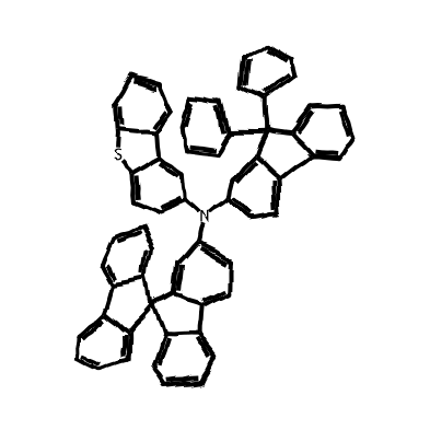 c1ccc(C2(c3ccccc3)c3ccccc3-c3ccc(N(c4ccc5c(c4)C4(c6ccccc6-c6ccccc64)c4ccccc4-5)c4ccc5sc6ccccc6c5c4)cc32)cc1